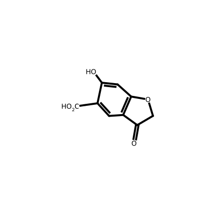 O=C(O)c1cc2c(cc1O)OCC2=O